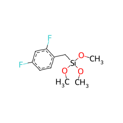 CO[Si](Cc1ccc(F)cc1F)(OC)OC